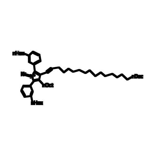 CCCCCCCCCCCCCCCCCCCCCCCCC#CC1=C(c2cccc(CCCCCC)c2)[N+](=[N-])C(c2cccc(CCCCCC)c2)=C1CCCCCCCC